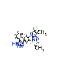 CCCc1nc2c(C)c(Cl)cnc2n1Cc1ccc(-c2ccccc2-c2nnn[nH]2)cc1